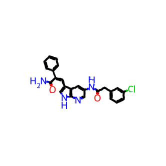 NC(=O)C(=Cc1c[nH]c2ncc(NC(=O)Cc3cccc(Cl)c3)cc12)c1ccccc1